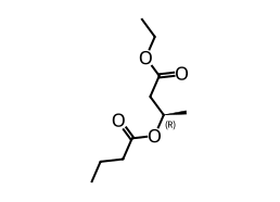 CCCC(=O)O[C@H](C)CC(=O)OCC